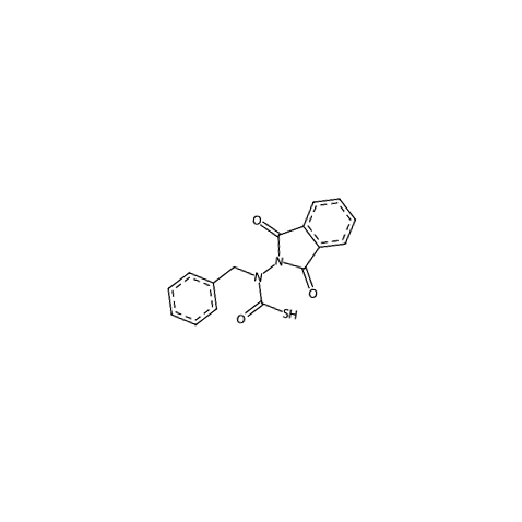 O=C(S)N(Cc1ccccc1)N1C(=O)c2ccccc2C1=O